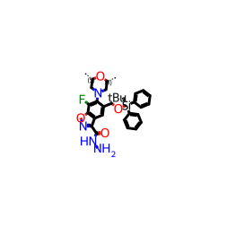 C[C@@H]1CN(c2c(CO[Si](c3ccccc3)(c3ccccc3)C(C)(C)C)cc3c(C(=O)NN)noc3c2F)C[C@H](C)O1